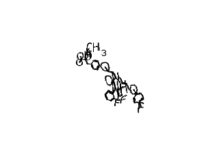 CCOC(Cc1ccc(OCCN(CCCCOc2ccc(F)cc2)C(=O)Nc2ccccc2C(F)(F)F)cc1)C(=O)O